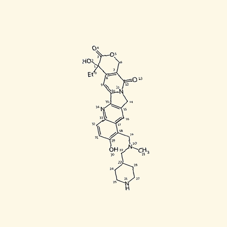 CCC1(O)C(=O)OCc2c1cc1n(c2=O)Cc2cc3c(CN(C)CC4CCNCC4)c(O)ccc3nc2-1